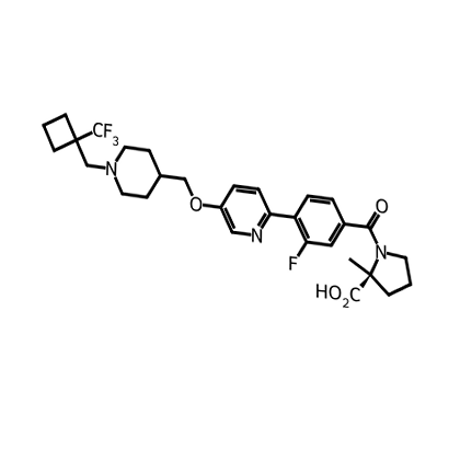 C[C@@]1(C(=O)O)CCCN1C(=O)c1ccc(-c2ccc(OCC3CCN(CC4(C(F)(F)F)CCC4)CC3)cn2)c(F)c1